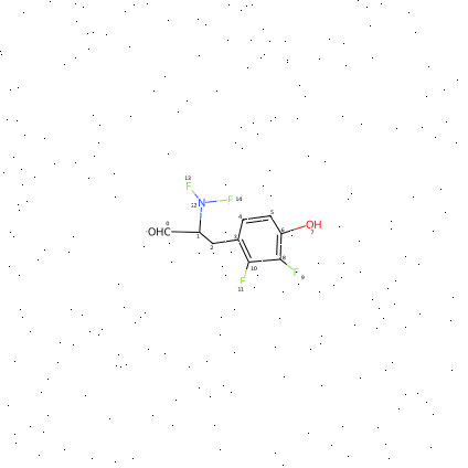 O=[C]C(Cc1ccc(O)c(F)c1F)N(F)F